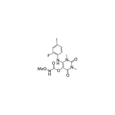 CONC(=O)Oc1c(Nc2ccc(I)cc2F)n(C)c(=O)n(C)c1=O